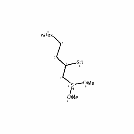 CCCCCCCCC(S)C[SiH](OC)OC